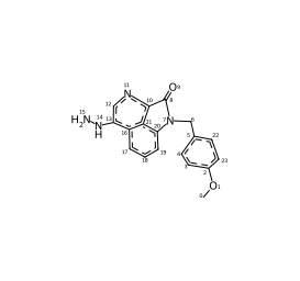 COc1ccc(CN2C(=O)c3ncc(NN)c4cccc2c34)cc1